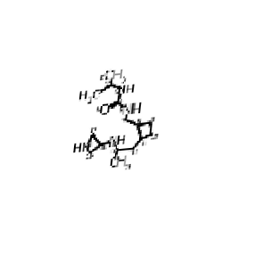 CC(C)NC(=O)NCC1CCC1CC(C)NC1CNC1